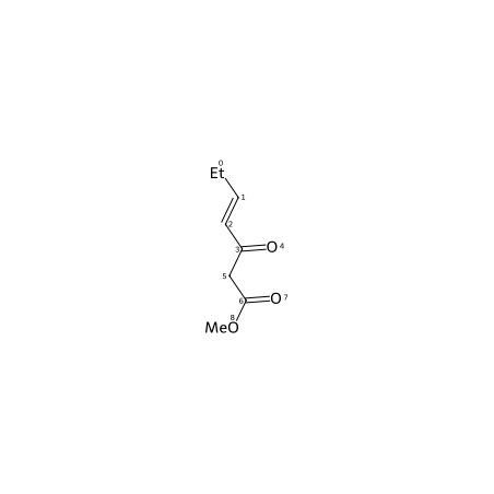 CCC=CC(=O)CC(=O)OC